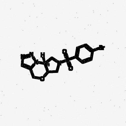 O=S(=O)(c1ccc(Br)cc1)N1CC2OCc3cnnn3[C@@H]2C1